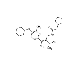 Cc1nc(/C(N)=C(\CNC(=O)CC2CCCC2)N(C)N)ccc1OC1CCCCC1